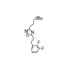 CC(C)(C)CCCc1noc(CCc2cccc(F)c2F)n1